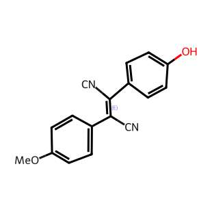 [C-]#[N+]/C(=C(/C#N)c1ccc(OC)cc1)c1ccc(O)cc1